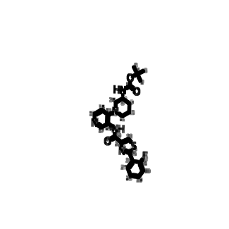 CC(C)(C)OC(=O)N[C@H]1CCCN(c2ccncc2NC(=O)c2csc(-c3ccccc3F)n2)C1